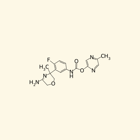 Cc1cnc(OC(=O)Nc2ccc(F)c(C3(C)COCC(N)=N3)c2)cn1